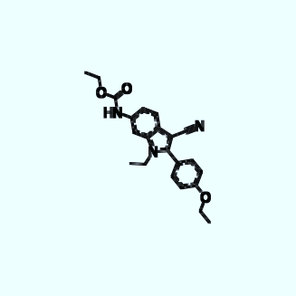 CCOC(=O)Nc1ccc2c(C#N)c(-c3ccc(OCC)cc3)n(CC)c2c1